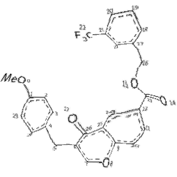 COc1ccc(Cc2coc3ccc(C(=O)OCc4cccc(C(F)(F)F)c4)cc3c2=O)cc1